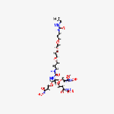 CCNC(=O)NCCCOCCOCCOCCCNC(=O)NC(COCCC(=O)NO)(COCCC(=O)NO)COCCC(=O)NO